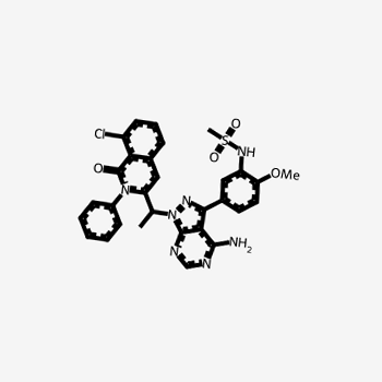 COc1ccc(-c2nn(C(C)c3cc4cccc(Cl)c4c(=O)n3-c3ccccc3)c3ncnc(N)c23)cc1NS(C)(=O)=O